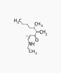 C=CN/C=C\C(=O)C(=C)C(C)CCCC